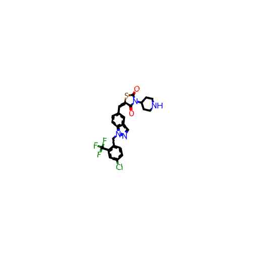 O=C1SC(=Cc2ccc3c(cnn3Cc3ccc(Cl)cc3C(F)(F)F)c2)C(=O)N1C1CCNCC1